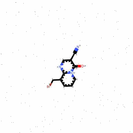 N#Cc1cnc2c(CBr)cccn2c1=O